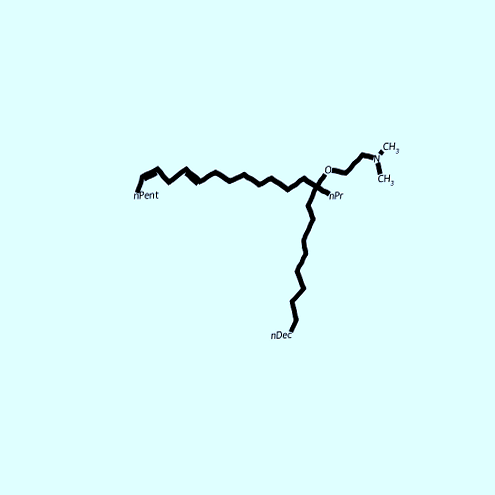 CCCCC/C=C\C/C=C/CCCCCCCC(CCC)(CCCCCCCCCCCCCCCCCC)OCCN(C)C